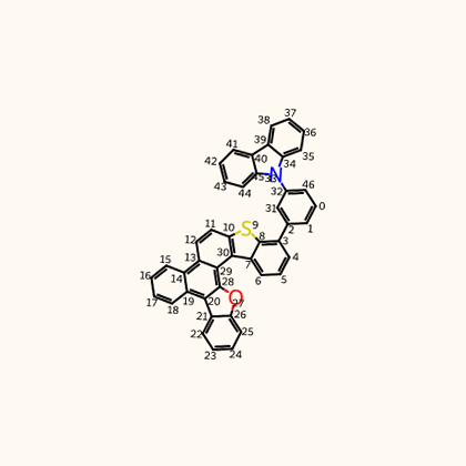 c1cc(-c2cccc3c2sc2ccc4c5ccccc5c5c6ccccc6oc5c4c23)cc(-n2c3ccccc3c3ccccc32)c1